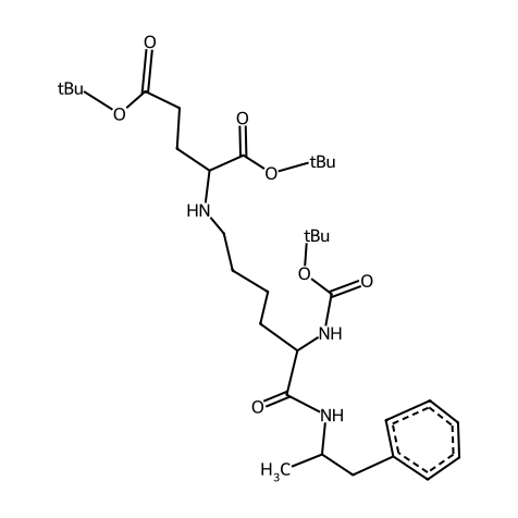 CC(Cc1ccccc1)NC(=O)C(CCCCNC(CCC(=O)OC(C)(C)C)C(=O)OC(C)(C)C)NC(=O)OC(C)(C)C